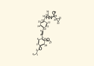 CCCOc1ccc(C#Cc2ccc(CC(C)NC(=O)C3CC3)cc2)c(OC)c1